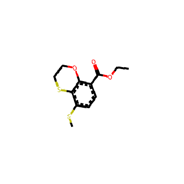 CCOC(=O)c1ccc(SC)c2c1OCCS2